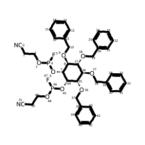 N#CCCOP(F)O[C@@H]1[C@@H](OCc2ccccc2)[C@H](OCc2ccccc2)[C@@H](OCc2ccccc2)[C@H](OCc2ccccc2)[C@@H]1OP(F)OCCC#N